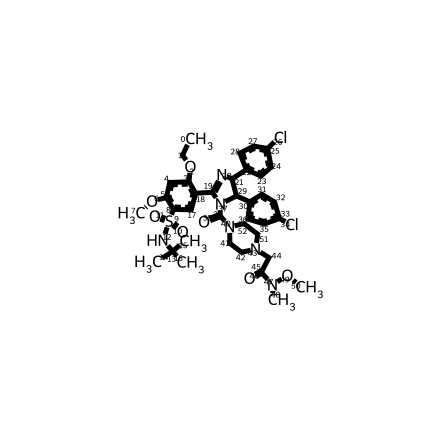 CCOc1cc(OC)c(S(=O)(=O)NC(C)(C)C)cc1C1=NC(c2ccc(Cl)cc2)C(c2ccc(Cl)cc2)N1C(=O)N1CCN(CC(=O)N(C)OC)CC1